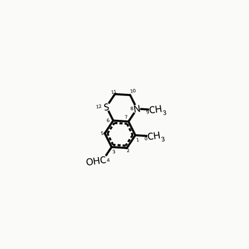 Cc1cc(C=O)cc2c1N(C)CCS2